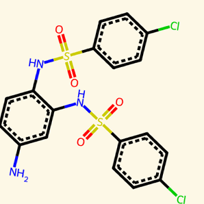 Nc1ccc(NS(=O)(=O)c2ccc(Cl)cc2)c(NS(=O)(=O)c2ccc(Cl)cc2)c1